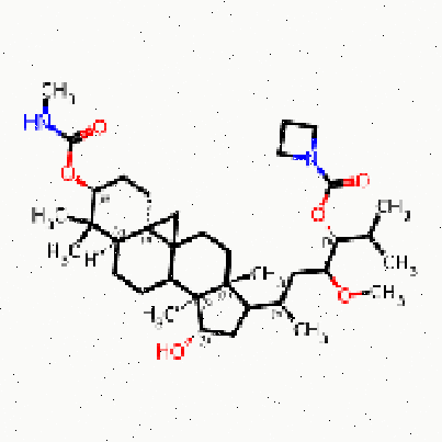 CNC(=O)O[C@H]1CC[C@]23CC24CC[C@]2(C)C([C@H](C)CC(OC)[C@H](OC(=O)N5CCC5)C(C)C)C[C@H](O)[C@@]2(C)C4CC[C@H]3C1(C)C